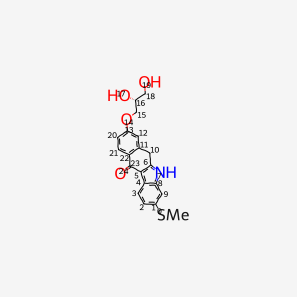 CSc1ccc2c3c([nH]c2c1)Cc1cc(OC[C@H](O)CO)ccc1C3=O